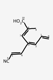 C=CC=C(C=CC#N)C=C(C)C(=O)O